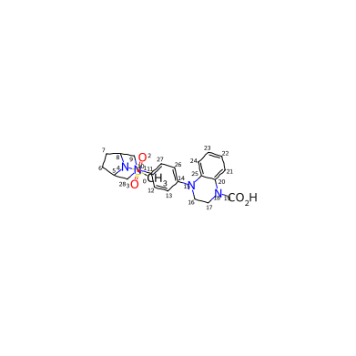 CS(=O)(=O)N1C2CCC1CN(c1ccc(N3CCN(C(=O)O)c4ccccc43)cc1)C2